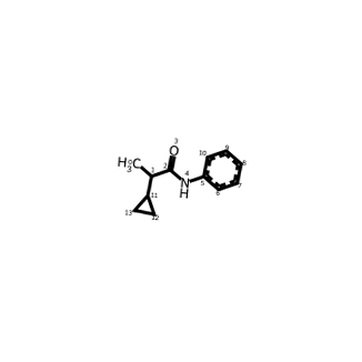 CC(C(=O)Nc1ccccc1)C1CC1